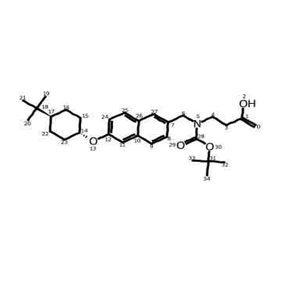 C=C(O)CCN(Cc1ccc2cc(O[C@H]3CC[C@H](C(C)(C)C)CC3)ccc2c1)C(=O)OC(C)(C)C